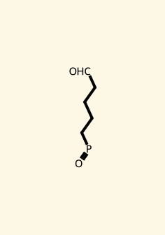 O=CCCCCP=O